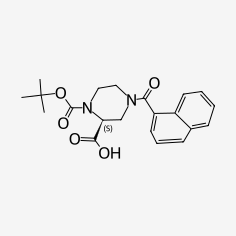 CC(C)(C)OC(=O)N1CCN(C(=O)c2cccc3ccccc23)C[C@H]1C(=O)O